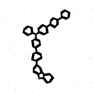 c1ccc(-c2ccc(-c3ccc(N(c4ccccc4)c4ccc(-c5ccc(-c6ccc7sc8ccccc8c7c6)cc5)cc4)cc3)cc2)cc1